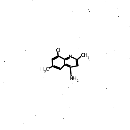 Cc1cc(Cl)c2nc(C)cc(N)c2c1